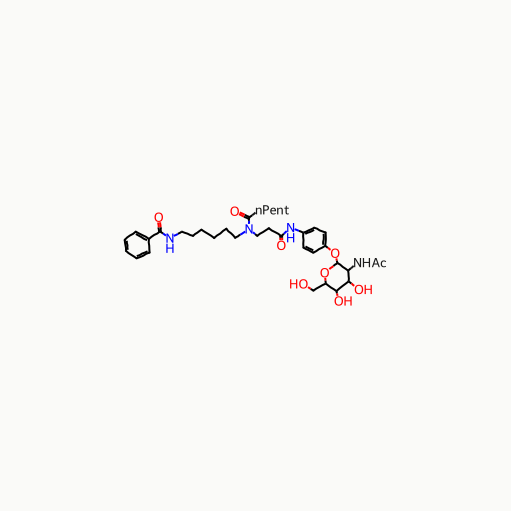 CCCCCC(=O)N(CCCCCCNC(=O)c1ccccc1)CCC(=O)Nc1ccc(OC2OC(CO)C(O)C(O)C2NC(C)=O)cc1